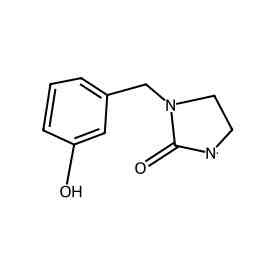 O=C1[N]CCN1Cc1cccc(O)c1